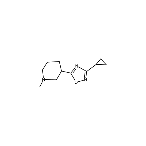 CN1CCCC(c2nc(C3CC3)no2)C1